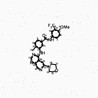 COc1ccc(NC(=O)c2ccc(C)c(Nc3ncnc4cnc(N5CCOCC5)cc34)c2)cc1C(F)(F)F